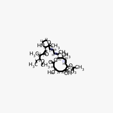 CC[C@H](OC)[C@@H](C)C1O[C@@H]1C1NCCOC1(C)/C=C/C=C(\C)[C@H]1OC(=O)C[C@H](O)CC[C@@](C)(O)[C@@H](OC(C)=O)/C=C/[C@@H]1C